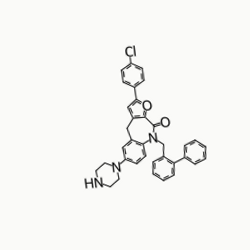 O=C1c2oc(-c3ccc(Cl)cc3)cc2Cc2cc(N3CCNCC3)ccc2N1Cc1ccccc1-c1ccccc1